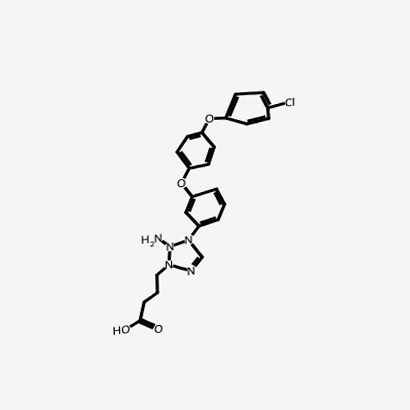 NN1N(CCCC(=O)O)N=CN1c1cccc(Oc2ccc(Oc3ccc(Cl)cc3)cc2)c1